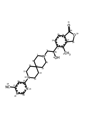 Cc1c([C@@H](O)CN2CCC3(CC2)CCN(c2cc(C#N)ncn2)CC3)ccc2c1COC2=O